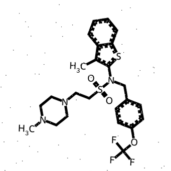 Cc1c(N(Cc2ccc(OC(F)(F)F)cc2)S(=O)(=O)CCN2CCN(C)CC2)sc2ccccc12